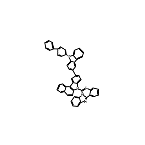 c1ccc(-c2ccc(-n3c4ccccc4c4cc(-c5ccc6c(c5)c5c7ccccc7ccc5n6-c5nc6ccccc6c6nc7ccccc7n56)ccc43)cc2)cc1